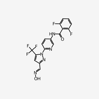 O=C(Nc1ccc(-n2nc(C=NO)cc2C(F)(F)F)nc1)c1c(F)cccc1F